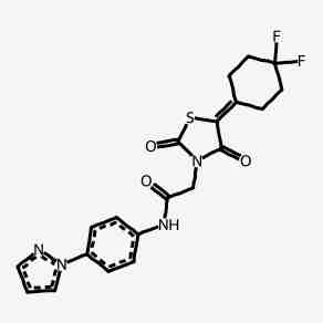 O=C(CN1C(=O)SC(=C2CCC(F)(F)CC2)C1=O)Nc1ccc(-n2cccn2)cc1